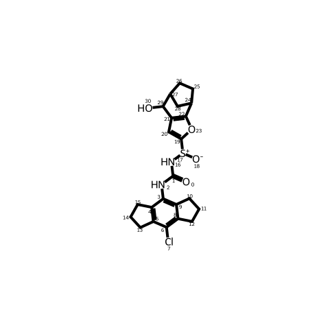 O=C(Nc1c2c(c(Cl)c3c1CCC3)CCC2)N[S+]([O-])c1cc2c(o1)C1CCC(C1)C2O